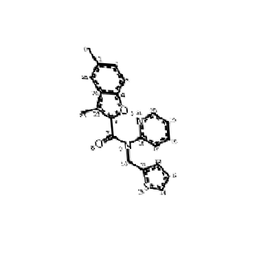 Cc1ccc2oc(C(=O)N(Cc3cccs3)c3ccccn3)c(C)c2c1